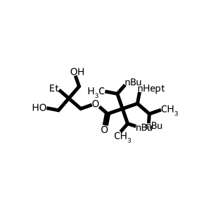 CCCCCCCC(C(C)CCCC)C(C(=O)OCC(CC)(CO)CO)(C(C)CCCC)C(C)CCCC